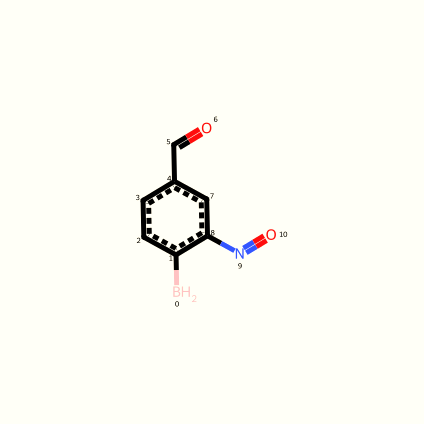 Bc1ccc(C=O)cc1N=O